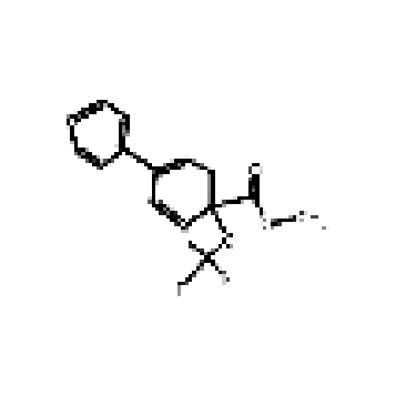 COC(=O)C1(OC(F)(F)F)C=CC(c2ccccc2)=CC1